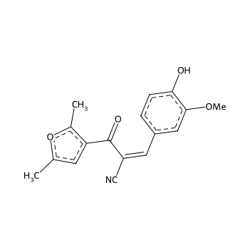 COc1cc(C=C(C#N)C(=O)c2cc(C)oc2C)ccc1O